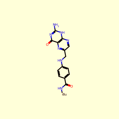 CCC(C)NC(=O)c1ccc(NCc2cnc3[nH]c(N)nc(=O)c3n2)cc1